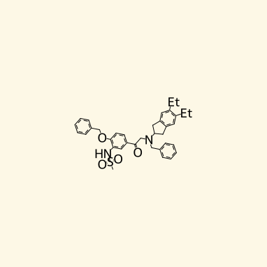 CCc1cc2c(cc1CC)CC(N(CC(=O)c1ccc(OCc3ccccc3)c(NS(C)(=O)=O)c1)Cc1ccccc1)C2